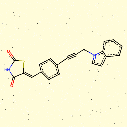 O=C1NC(=O)/C(=C/c2ccc(C#CCn3ccc4ccccc43)cc2)S1